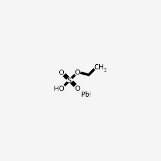 CCOS(=O)(=O)O.[Pb]